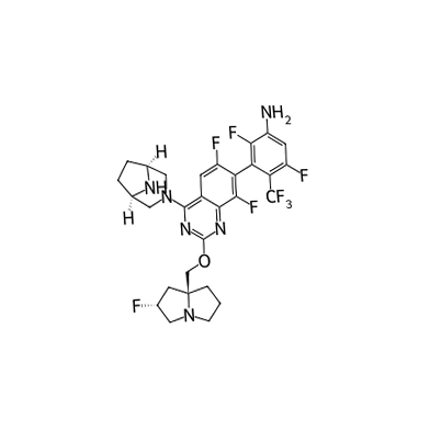 Nc1cc(F)c(C(F)(F)F)c(-c2c(F)cc3c(N4C[C@H]5CC[C@@H](C4)N5)nc(OC[C@@]45CCCN4C[C@H](F)C5)nc3c2F)c1F